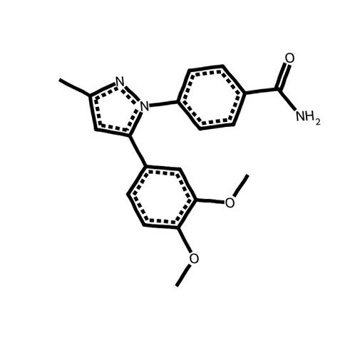 COc1ccc(-c2cc(C)nn2-c2ccc(C(N)=O)cc2)cc1OC